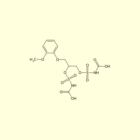 COc1ccccc1OCC(COS(=O)(=O)NC(=O)O)OS(=O)(=O)NC(=O)O